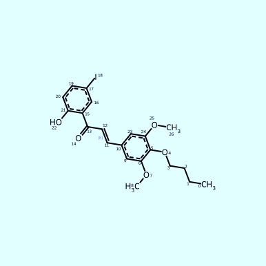 CCCCOc1c(OC)cc(/C=C/C(=O)c2cc(I)ccc2O)cc1OC